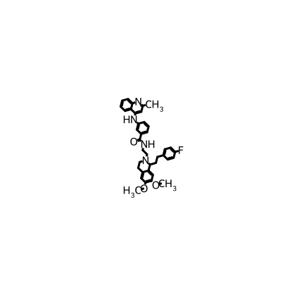 COc1cc2c(cc1OC)C(CCc1ccc(F)cc1)N(CCNC(=O)c1cccc(Nc3cc(C)nc4ccccc34)c1)CC2